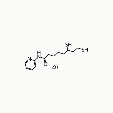 O=C(CCCCC(S)CCS)Nc1ccccn1.[Zn]